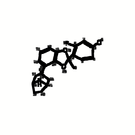 CC1(c2ccc(Cl)cc2F)Oc2cccc(N3CC4CCC(C3)N4)c2O1